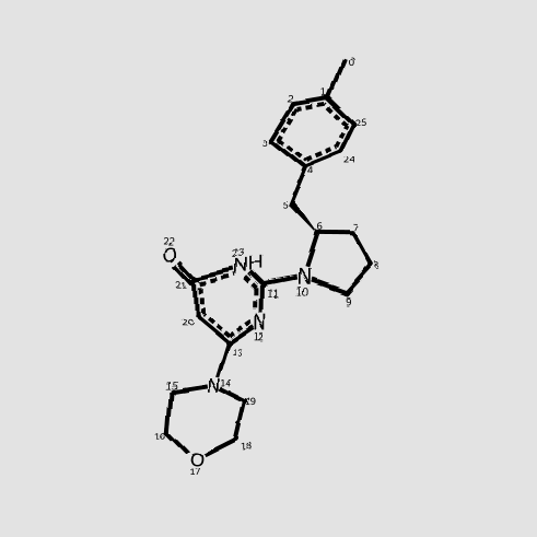 Cc1ccc(C[C@H]2CCCN2c2nc(N3CCOCC3)cc(=O)[nH]2)cc1